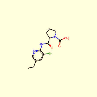 CCc1cnc(NC(=O)[C@H]2CCCN2C(=O)O)c(Br)c1